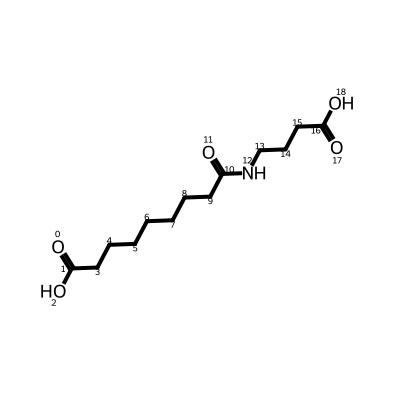 O=C(O)CCCCCCCC(=O)NCCCC(=O)O